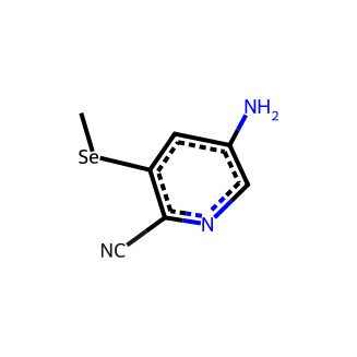 C[Se]c1cc(N)cnc1C#N